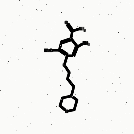 COc1cc(C(N)=O)c([N+](=O)[O-])cc1OCCCN1CCOCC1